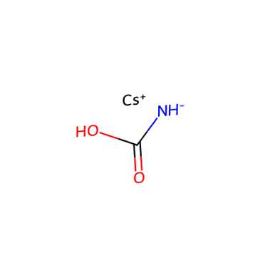 [Cs+].[NH-]C(=O)O